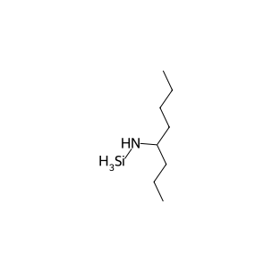 CCCCC(CCC)N[SiH3]